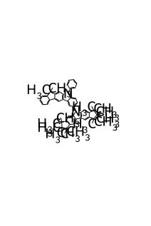 CC1(C)c2ccccc2-c2cc3c4cc(-n5c6cc7c(cc6c6cc8c(cc65)C(C)(C)C(C)(C)C8(C)C)C(C)(C)C(C)(C)C7(C)C)ccc4n(-c4ccccc4)c3cc21